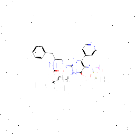 Cn1c(NCC(Cc2ccccc2)NC(=O)OC(C)(C)C)nc(-c2ccncc2)c(NS(C)(=O)=O)c1=O